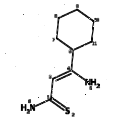 NC(=S)C=C(N)C1CCCCC1